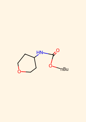 CCCCOC(=O)NC1CCOCC1